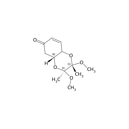 CO[C@@]1(C)OC2C=CC(=O)C[C@H]2O[C@]1(C)OC